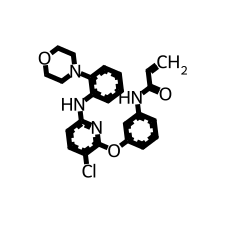 C=CC(=O)Nc1cccc(Oc2nc(Nc3ccccc3N3CCOCC3)ccc2Cl)c1